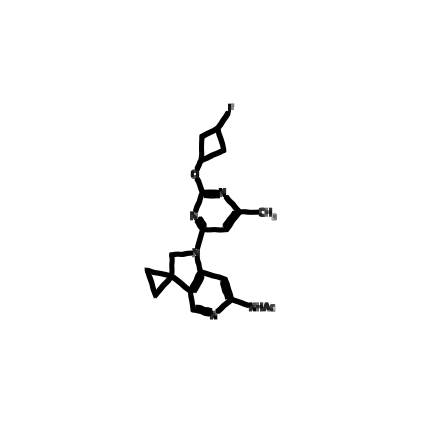 CC(=O)Nc1cc2c(cn1)C1(CC1)CN2c1cc(C)nc(OC2CC(F)C2)n1